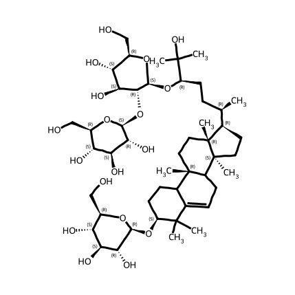 C[C@H](CC[C@@H](O[C@@H]1O[C@H](CO)[C@@H](O)[C@H](O)[C@H]1O[C@@H]1O[C@H](CO)[C@@H](O)[C@H](O)[C@H]1O)C(C)(C)O)[C@H]1CC[C@@]2(C)C3CC=C4C(CC[C@H](O[C@@H]5O[C@H](CO)[C@@H](O)[C@H](O)[C@H]5O)C4(C)C)[C@]3(C)CC[C@]12C